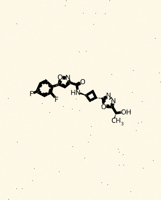 C[C@@H](O)c1nnc([C@H]2C[C@H](NC(=O)c3cc(-c4ccc(F)cc4F)on3)C2)o1